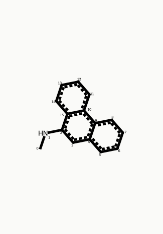 CNc1cc2ccccc2c2ccccc12